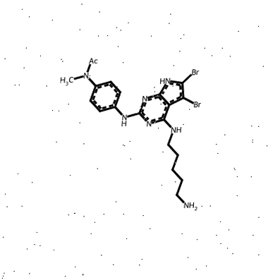 CC(=O)N(C)c1ccc(Nc2nc(NCCCCCN)c3c(Br)c(Br)[nH]c3n2)cc1